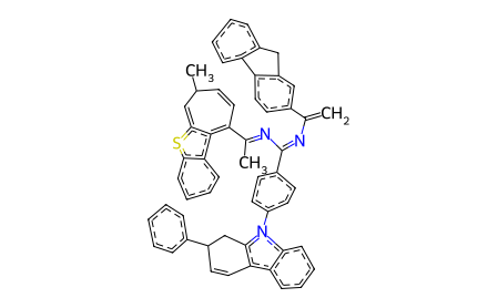 C=C(/N=C(\N=C(/C)C1=c2c(sc3ccccc23)=CC(C)C=C1)c1ccc(-n2c3c(c4ccccc42)C=CC(c2ccccc2)C3)cc1)c1ccc2c(c1)Cc1ccccc1-2